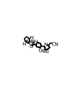 CC(C)COc1cc(C(=O)N[C@@H]2C[C@@H]3CC[C@H]2N3C#N)ccc1-c1cccc(CC#N)n1